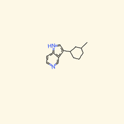 CC1CCCC(c2c[nH]c3ccncc23)C1